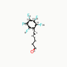 O=CCCCCc1c(F)c(F)c(F)c(F)c1F